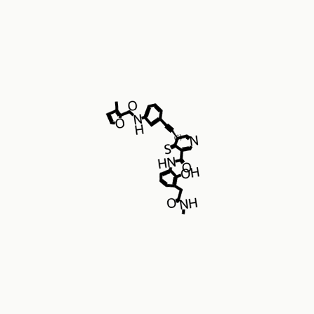 CNC(=O)Cc1cccc(NC(=O)C2=CN=C[C@H](C#Cc3cccc(NC(=O)c4occc4C)c3)C2=S)c1O